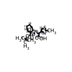 Cc1nc(/C(=N/OC2(C(=O)OC(C)(C)C)CC3CCC(C2)O3)C(=O)O)cs1